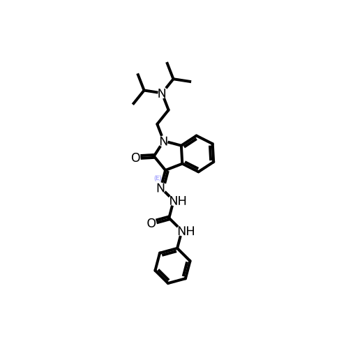 CC(C)N(CCN1C(=O)/C(=N/NC(=O)Nc2ccccc2)c2ccccc21)C(C)C